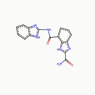 NC(=O)c1nc2cccc(C(=O)Nc3nc4ccccc4[nH]3)c2[nH]1